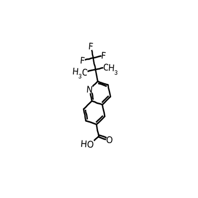 CC(C)(c1ccc2cc(C(=O)O)ccc2n1)C(F)(F)F